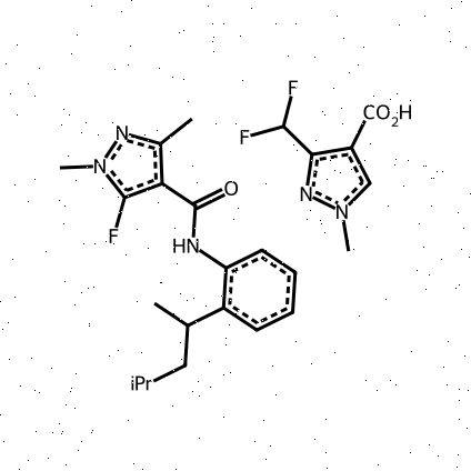 Cc1nn(C)c(F)c1C(=O)Nc1ccccc1C(C)CC(C)C.Cn1cc(C(=O)O)c(C(F)F)n1